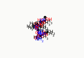 CC[C@H](C)C([C@@H](CC(=O)N1CCCC1[C@H](OC)[C@H](O)C(=O)N[C@H](C)[C@@H](O)c1ccccc1)OC)N(C)C(=O)C(NC(=O)C(C(C)C)N(C)C(=O)OCc1ccc(NC(=O)[C@H](CCCNC(N)=O)NC(=O)C(NC(=O)CCN2C(=O)CC(C(C)C(C)C)C2=O)C(C)C)cc1)C(C)C